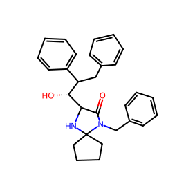 O=C1C([C@H](O)[C](Cc2ccccc2)c2ccccc2)NC2(CCCC2)N1Cc1ccccc1